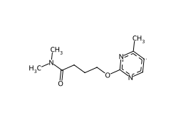 Cc1[c]cnc(OCCCC(=O)N(C)C)n1